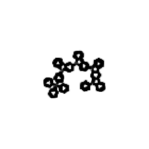 c1ccc(-n2c3ccccc3c3cc4c5ccccc5n(-c5ccc6c(c5)c5ccccc5n6-c5ccc6c(c5)c5ccccc5n6-c5ccc([Si](c6ccccc6)(c6ccccc6)c6ccccc6)cc5)c4cc32)cc1